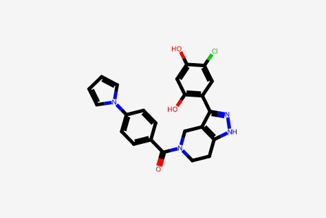 O=C(c1ccc(-n2cccc2)cc1)N1CCc2[nH]nc(-c3cc(Cl)c(O)cc3O)c2C1